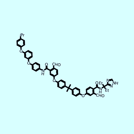 CCC(CC)(NC(=O)c1ccc(Oc2ccc(C(C)(C)c3ccc(Oc4ccc(C=O)c(C(=O)Nc5ccc(Oc6cccc(Oc7ccc(C(C)C)cc7)c6)cc5)c4)cc3)cc2)cc1C=O)c1nc[nH]n1